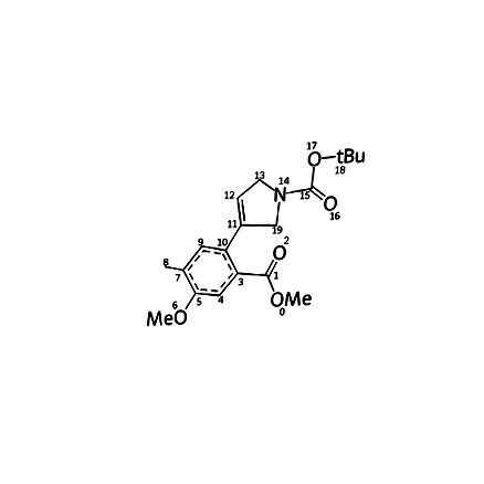 COC(=O)c1cc(OC)c(C)cc1C1=CCN(C(=O)OC(C)(C)C)C1